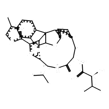 Cc1coc(-c2nc3oc2C24c5ccccc5NC2Oc2ccc(cc24)C[C@H](NC(=O)[C@@H](O)C(C)C)C(=O)N[C@@H]3C(C)C)n1